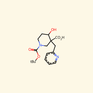 CC(C)(C)OC(=O)N1CCC(O)C(Cc2ccccn2)(C(=O)O)C1